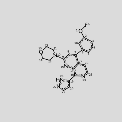 FOc1cccc(-c2cc(N3CCOCC3)nc3c(-c4ccn[nH]4)nccc23)c1